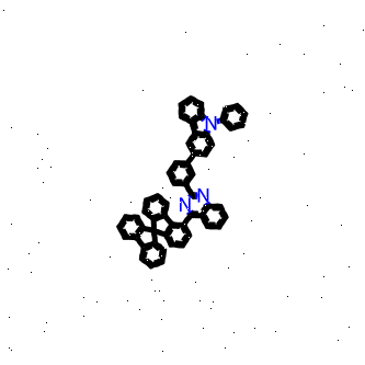 c1ccc(-n2c3ccccc3c3cc(-c4cccc(-c5nc(-c6cccc7c6-c6ccccc6C76c7ccccc7-c7ccccc76)c6ccccc6n5)c4)ccc32)cc1